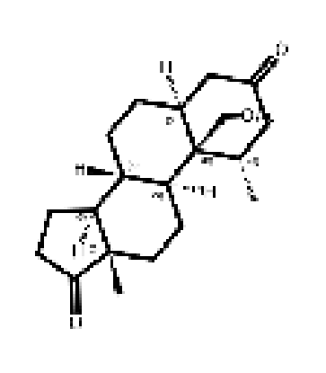 CC(=O)OC[C@]12[C@@H](CC[C@@H]3[C@@H]1CC[C@]1(C)C(=O)CC[C@@H]31)CC(=O)C[C@@H]2C